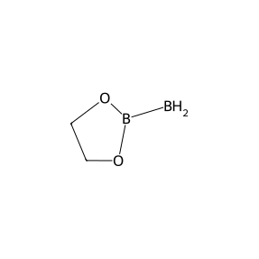 BB1OCCO1